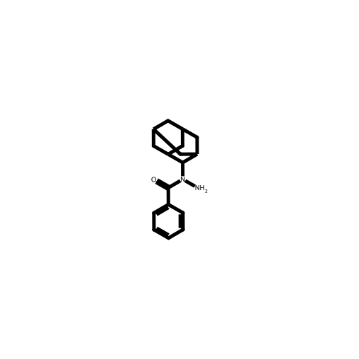 NN(C(=O)c1ccccc1)C1C2CC3CC(C2)CC1C3